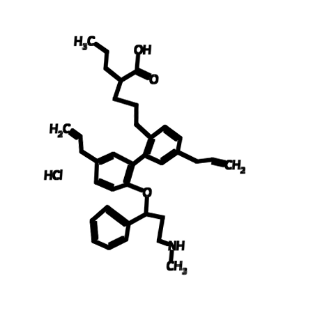 C=CCc1ccc(CCCC(CCC)C(=O)O)c(-c2cc(CC=C)ccc2OC(CCNC)c2ccccc2)c1.Cl